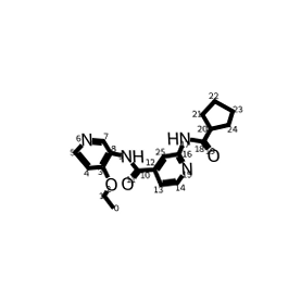 CCOc1ccncc1NC(=O)c1ccnc(NC(=O)C2CCCC2)c1